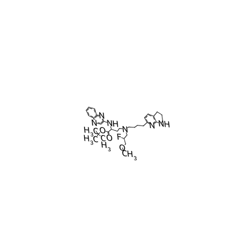 COCC(F)CN(CCCCc1ccc2c(n1)NCCC2)CCC(Nc1cnc2ccccc2n1)C(=O)OC(C)(C)C